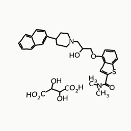 CN(C)C(=O)c1cc2c(OCC(O)CN3CCC(c4ccc5ccccc5c4)CC3)cccc2s1.O=C(O)C(O)C(O)C(=O)O